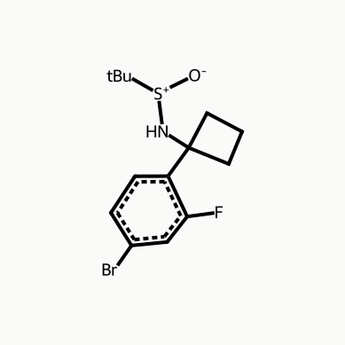 CC(C)(C)[S+]([O-])NC1(c2ccc(Br)cc2F)CCC1